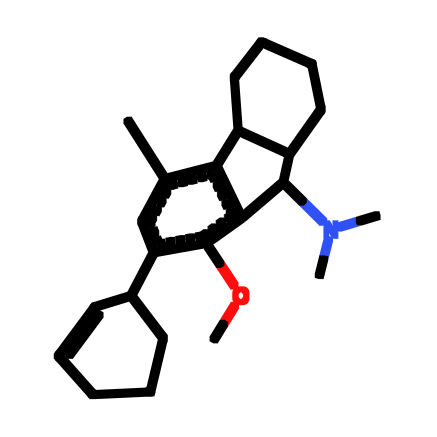 COc1c(C2C=CCCC2)cc(C)c2c1C(N(C)C)C1CCCCC21